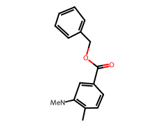 CNc1cc(C(=O)OCc2ccccc2)ccc1C